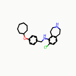 Clc1ccc2c(c1NCc1ccc(OC3CCCCCC3)cc1)CCNCC2